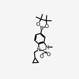 CN1c2cc(B3OC(C)(C)C(C)(C)O3)ccc2N(CC2CC2)S1(=O)=O